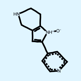 [O-][NH+]1C(c2ccncc2)=CC2=C1CCNC2